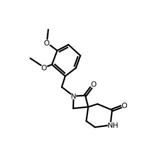 COc1cccc(CN2CC3(CCNC(=O)C3)C2=O)c1OC